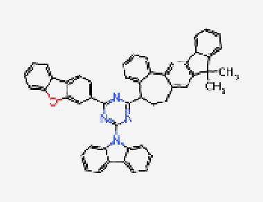 CC1(C)c2ccccc2-c2cc3c(cc21)CCC(c1nc(-c2ccc4c(c2)oc2ccccc24)nc(-n2c4ccccc4c4ccccc42)n1)c1ccccc1-3